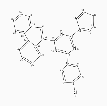 Clc1ccc(-c2nc(-c3ccccc3)nc(-c3cc4ccccc4c4ccccc34)n2)cc1